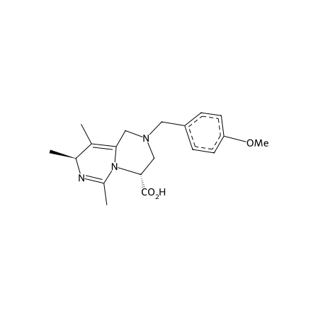 COc1ccc(CN2CC3=C(C)[C@H](C)N=C(C)N3[C@@H](C(=O)O)C2)cc1